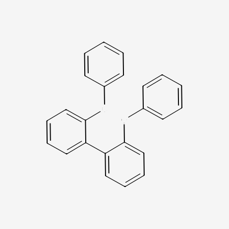 c1ccc(Oc2ccccc2-c2ccccc2Oc2ccccc2)cc1